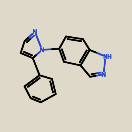 c1ccc(-c2ccnn2-c2ccc3[nH]ncc3c2)cc1